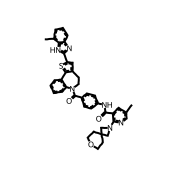 Cc1cnc(N2CC3(CCOCC3)C2)c(C(=O)Nc2ccc(C(=O)N3CCc4cc(-c5nc6cccc(C)c6[nH]5)sc4-c4ccccc43)cc2)c1